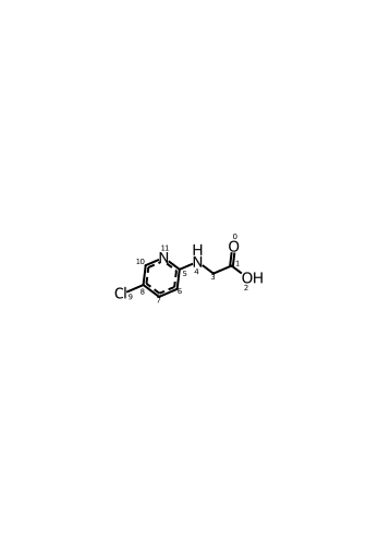 O=C(O)CNc1ccc(Cl)cn1